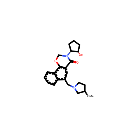 COC1CCN(Cc2cc3c(c4ccccc24)OCN([C@H]2CCC[C@@H]2O)C3=O)C1